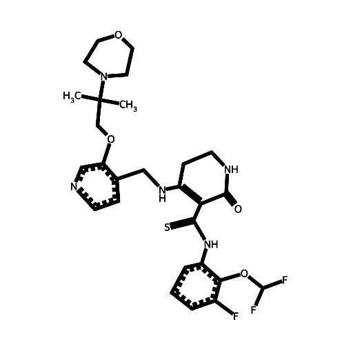 CC(C)(COc1cnccc1CNC1=C(C(=S)Nc2cccc(F)c2OC(F)F)C(=O)NCC1)N1CCOCC1